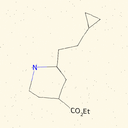 CCOC(=O)C1CC[N]C(CCC2CC2)C1